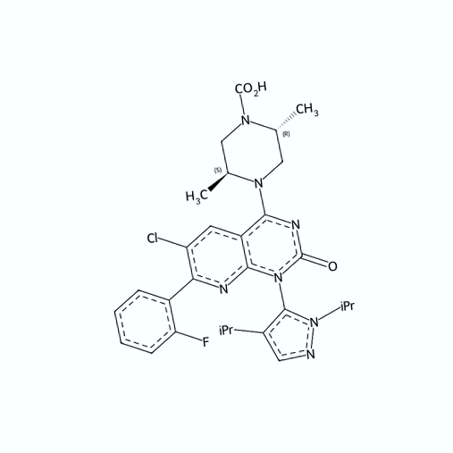 CC(C)c1cnn(C(C)C)c1-n1c(=O)nc(N2C[C@@H](C)N(C(=O)O)C[C@@H]2C)c2cc(Cl)c(-c3ccccc3F)nc21